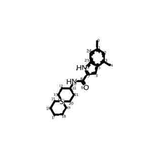 Cc1cc(C)c2cc(C(=O)NC3CC[Si]4(CCCCC4)CC3)[nH]c2c1